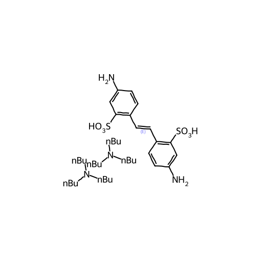 CCCCN(CCCC)CCCC.CCCCN(CCCC)CCCC.Nc1ccc(/C=C/c2ccc(N)cc2S(=O)(=O)O)c(S(=O)(=O)O)c1